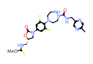 COC(=S)NC[C@H]1CN(c2cc(F)c(N3CCNN(C(=O)NCc4cnc(C)cn4)CC3)c(F)c2)C(=O)O1